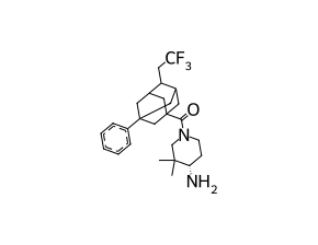 CC1(C)CN(C(=O)C23CC4CC(c5ccccc5)(CC(C2)C4CC(F)(F)F)C3)CC[C@@H]1N